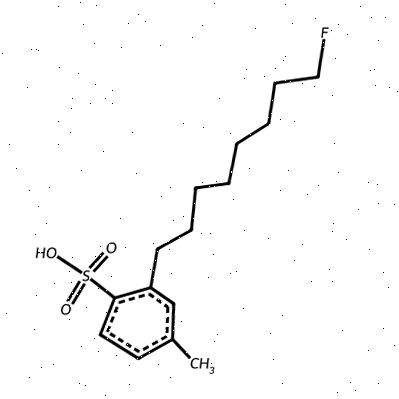 Cc1ccc(S(=O)(=O)O)c(CCCCCCCCF)c1